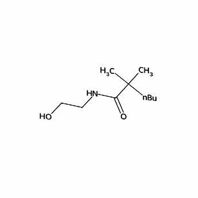 CCCCC(C)(C)C(=O)NCCO